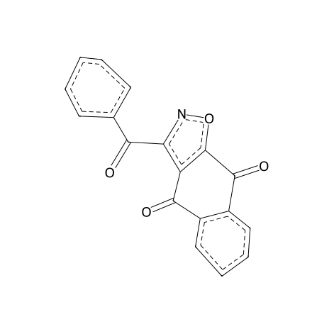 O=C(c1ccccc1)c1noc2c1C(=O)c1ccccc1C2=O